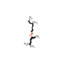 C=C/C(=C\C=C(C)C)OS/C=C/C/C=C(C)\C=C/C